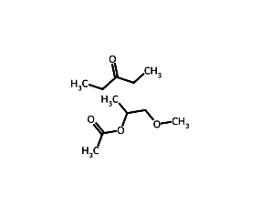 CCC(=O)CC.COCC(C)OC(C)=O